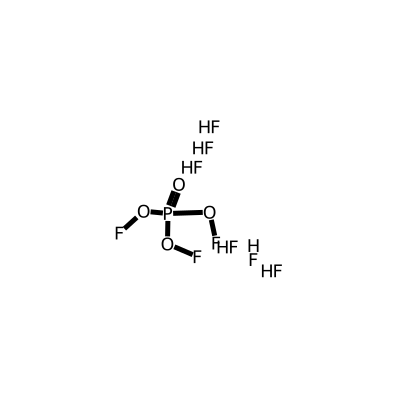 F.F.F.F.F.F.O=P(OF)(OF)OF